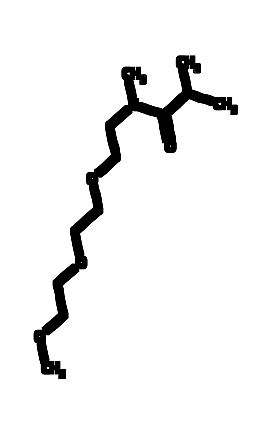 COCCOCCOCCN(C)C(=O)C(C)C